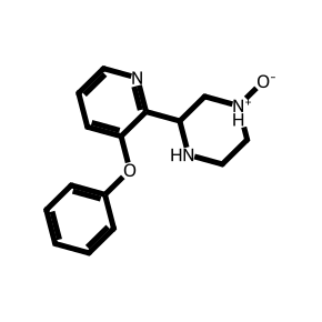 [O-][NH+]1CCNC(c2ncccc2Oc2ccccc2)C1